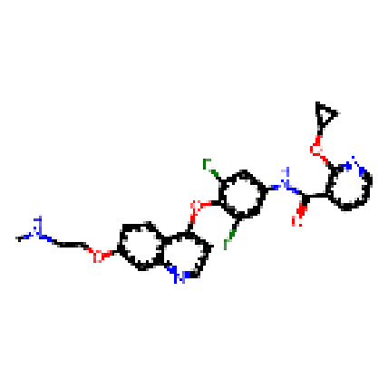 CNCCOc1ccc2c(Oc3c(F)cc(NC(=O)c4cccnc4OC4CC4)cc3F)ccnc2c1